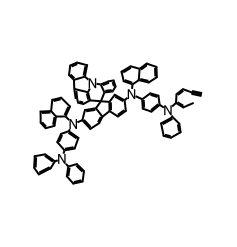 C#C/C=C\C(=C/C)N(c1ccccc1)c1ccc(N(c2ccc3c(c2)C2(c4cc(N(c5ccc(N(c6ccccc6)c6ccccc6)cc5)c5cccc6ccccc56)ccc4-3)c3ccccc3-n3c4ccccc4c4cccc2c43)c2cccc3ccccc23)cc1